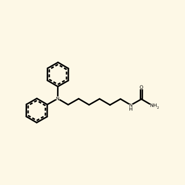 NC(=O)NCCCCCCN(c1ccccc1)c1ccccc1